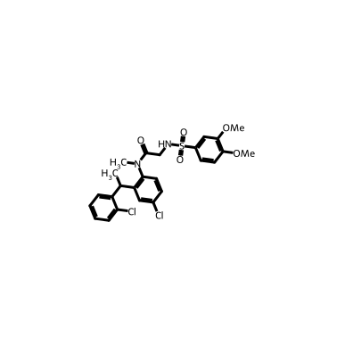 COc1ccc(S(=O)(=O)NCC(=O)N(C)c2ccc(Cl)cc2C(C)c2ccccc2Cl)cc1OC